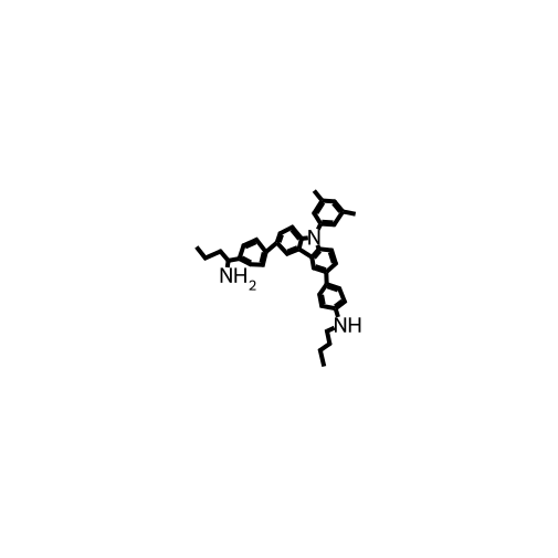 CCCCNc1ccc(-c2ccc3c(c2)c2cc(-c4ccc(C(N)CCC)cc4)ccc2n3-c2cc(C)cc(C)c2)cc1